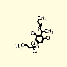 CCCC(Cl)(Cl)Oc1cc(Cl)c(C(C)N=NCC)c(Cl)c1